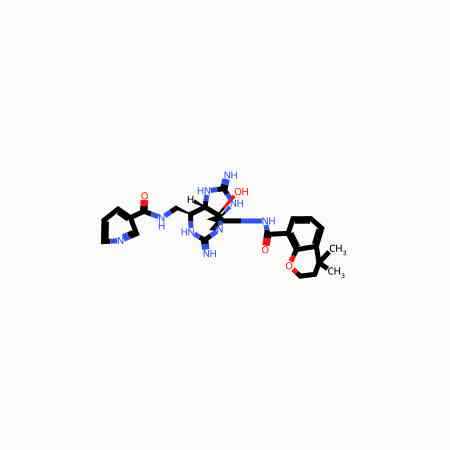 CC1(C)CCOc2c(C(=O)NC3CN4C(=N)N[C@@H](CNC(=O)c5cccnc5)[C@@H]5NC(=N)N[C@@]54[C@@H]3O)cccc21